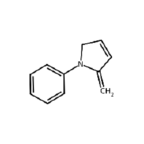 C=C1C=CCN1c1ccccc1